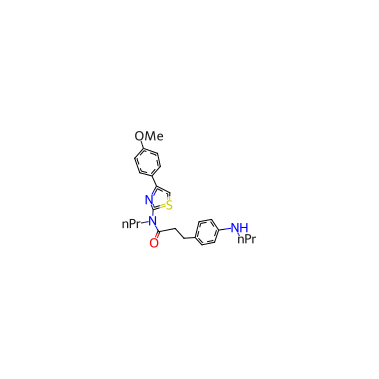 CCCNc1ccc(CCC(=O)N(CCC)c2nc(-c3ccc(OC)cc3)cs2)cc1